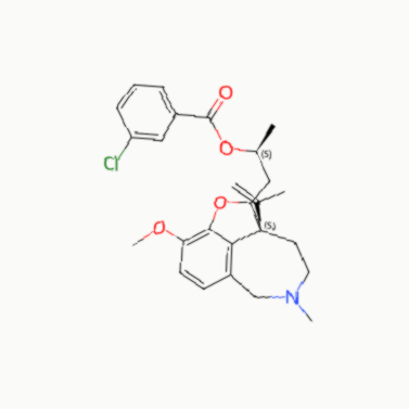 C=C(C)[C@@]12CCN(C)Cc3ccc(OC)c(c31)OC2C[C@H](C)OC(=O)c1cccc(Cl)c1